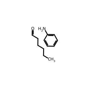 CCCCCC=O.Nc1ccccc1